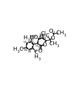 CC(=O)OC(C)(C)c1oc(=O)c(-c2c(C)cc(C)cc2C)c(O)c1Cl